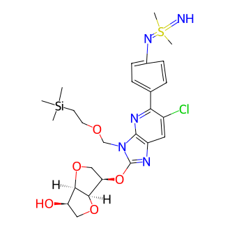 C[Si](C)(C)CCOCn1c(O[C@@H]2CO[C@H]3[C@@H]2OC[C@H]3O)nc2cc(Cl)c(-c3ccc(N=S(C)(C)=N)cc3)nc21